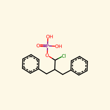 O=P(O)(O)OC(Cl)C(Cc1ccccc1)Cc1ccccc1